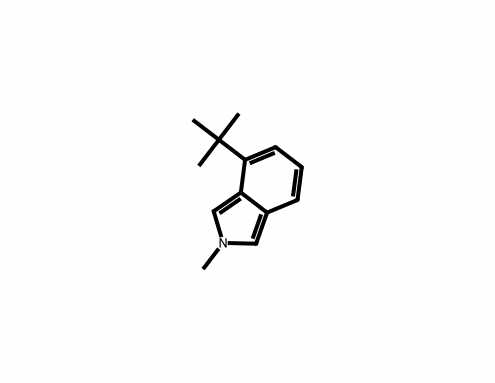 Cn1cc2cccc(C(C)(C)C)c2c1